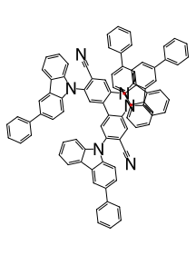 N#Cc1cc(-n2c3ccccc3c3cc(-c4ccccc4)ccc32)c(-c2cc(-n3c4ccccc4c4cc(-c5ccccc5)ccc43)c(C#N)cc2-n2c3ccccc3c3cc(-c4ccccc4)ccc32)cc1-n1c2ccccc2c2cc(-c3ccccc3)ccc21